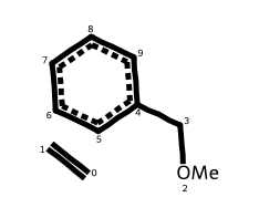 C=C.COCc1ccccc1